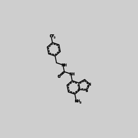 Nc1ccc(NC(=O)NCc2ccc(C(F)(F)F)cc2)c2cnsc12